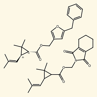 CC(C)=CC1C(C(=O)OCN2C(=O)C3=C(CCCC3)C2=O)C1(C)C.CC(C)=C[C@@H]1[C@@H](C(=O)OCc2coc(Cc3ccccc3)c2)C1(C)C